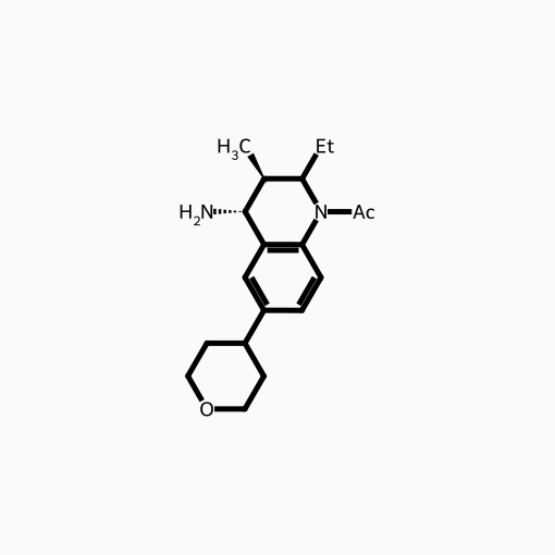 CCC1[C@H](C)[C@@H](N)c2cc(C3CCOCC3)ccc2N1C(C)=O